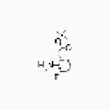 CC(C)(C)OC(=O)Cc1cccc(F)c1N